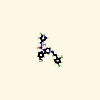 N#Cc1ccc2c(c1)c1c(n2C(=O)NCc2ccnc(F)c2)CCN(CC=Cc2ccc(Br)cc2F)C1